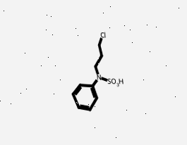 O=S(=O)(O)N(CCCCl)c1c[c]ccc1